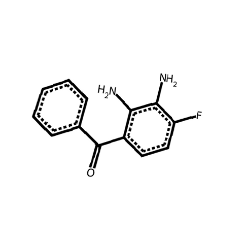 Nc1c(F)ccc(C(=O)c2ccccc2)c1N